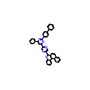 c1ccc(-c2ccc(-c3nc(-c4ccccc4)cc(-c4cnc(-c5nc6ccccc6c6c5ccc5ccccc56)cn4)n3)cc2)cc1